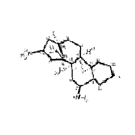 C[C@]12CC[C@@H]3[C@@H](CC(N)C4CCCC[C@@]43C)[C@@H]1CC(N)C2